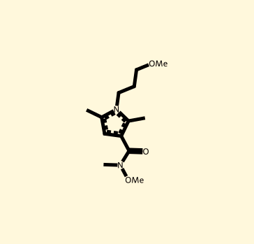 COCCCn1c(C)cc(C(=O)N(C)OC)c1C